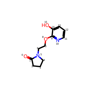 O=C1CCCN1CCOc1ncccc1O